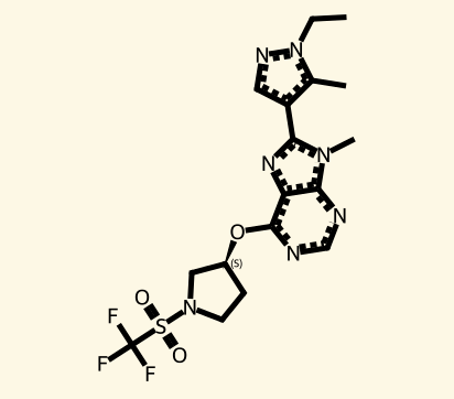 CCn1ncc(-c2nc3c(O[C@H]4CCN(S(=O)(=O)C(F)(F)F)C4)ncnc3n2C)c1C